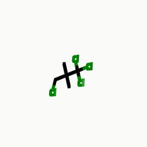 CC(C)(CCl)C(Cl)(Cl)Cl